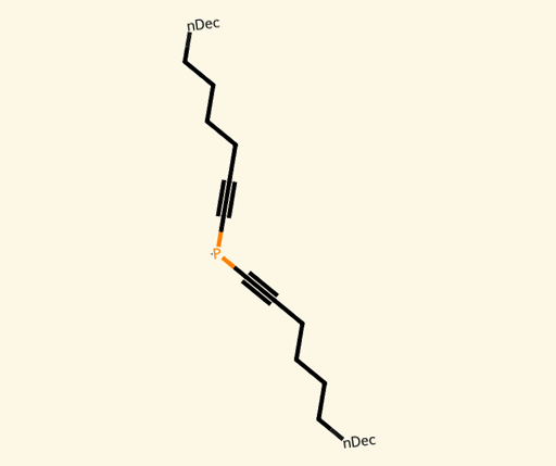 CCCCCCCCCCCCCCC#C[P]C#CCCCCCCCCCCCCCC